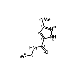 CNc1cc(C(=O)NCC(C)C)[nH]n1